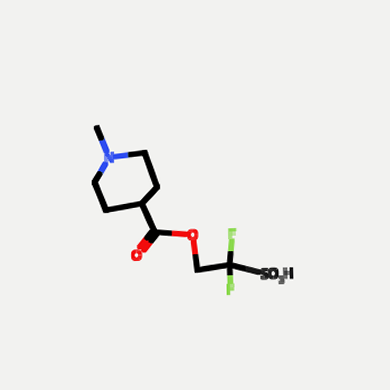 CN1CCC(C(=O)OCC(F)(F)S(=O)(=O)O)CC1